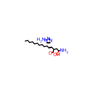 CCCCCCCCCCC=CC(CC(N)=O)C(=O)O.Nn1ccnn1